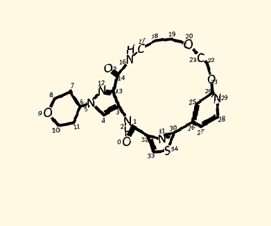 O=C1Nc2cn(C3CCOCC3)nc2C(=O)NCCCOCCOc2cc(ccn2)-c2nc1cs2